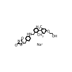 Cc1cc(OCCO)ccc1-c1cccc(CNc2ccc(Cn3oc(=O)[n-]c3=O)cc2)c1C.[Na+]